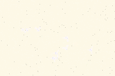 Nc1nc2c(-c3c(Cl)cc4c(N5CC6CCC(C5)N6)nc(OCC56CCCN5C[C@H](F)C6)nc4c3F)ccc(C(F)(F)F)c2s1